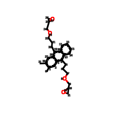 Cc1cc2c(CCCOCC3CO3)c3ccccc3c(CCCOCC3CO3)c2cc1C